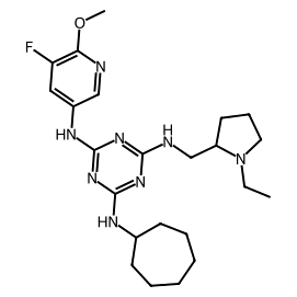 CCN1CCCC1CNc1nc(Nc2cnc(OC)c(F)c2)nc(NC2CCCCCC2)n1